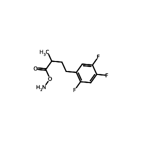 CC(CCc1cc(F)c(F)cc1F)C(=O)ON